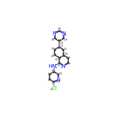 Clc1ccc(Nc2nccc3cc(-c4cncnc4)ccc23)cn1